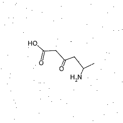 CC(N)CC(=O)CC(=O)O